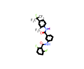 O=C(Nc1cccc(C(=O)N(I)c2ccc(C(F)(C(F)(F)F)C(F)(F)F)cc2C(F)(F)F)c1)c1c(F)cccc1F